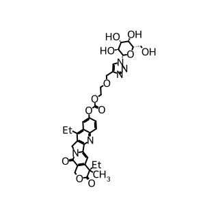 CCc1c2c(nc3ccc(OC(=O)OCCOCc4cn([C@H]5O[C@@H](CO)[C@H](O)[C@@H](O)[C@@H]5O)nn4)cc13)-c1cc3c(c(=O)n1C2)COC(=O)[C@]3(C)CC